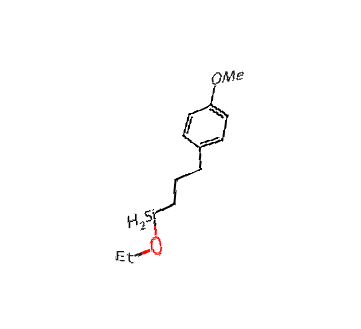 CCO[SiH2]CCCc1ccc(OC)cc1